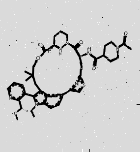 CCn1c(-c2cccnc2[C@H](C)OC)c2c3cc(ccc31)-c1csc(n1)C[C@H](NC(=O)C1CCN(C(C)=O)CC1)C(=O)N1CCC[C@H](N1)C(=O)OCC(C)(C)C2